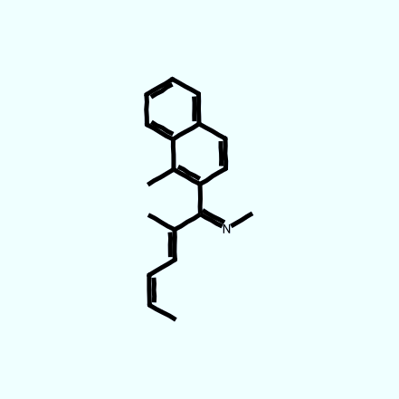 C\C=C/C=C(C)/C(=N/C)c1ccc2ccccc2c1C